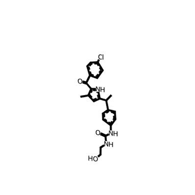 Cc1cc(C(C)c2ccc(NC(=O)NCCO)cc2)[nH]c1C(=O)c1ccc(Cl)cc1